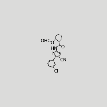 N#Cc1sc(NC(=O)C2CCCCC2OC=O)nc1-c1cccc(Cl)c1